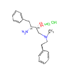 CN(CCc1ccccc1)C[C@@H](O)[C@H](N)Cc1ccccc1.Cl.Cl